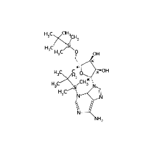 CC(C)(C)[Si](C)(C)OC[C@H]1O[C@@H](N2C=NC3=C(N)N=CN([Si](C)(C)C(C)(C)C)C32)[C@H](O)[C@@H]1O